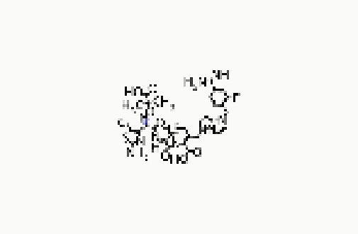 CC(C)(O/N=C(\C(=O)N[C@@H]1C(=O)N2C(C(=O)O)=C(C[n+]3ccc4n(Cc5ccc(C(=N)N)cc5F)ccn43)CS[C@H]12)c1nc(N)sc1Cl)C(=O)O